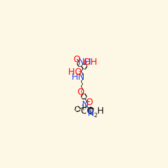 O=C(c1ccc(OCCCCCNCC(O)c2ccc(O)c3[nH]c(=O)ccc23)cc1)N1CC(C(=O)O)(c2ccccc2)C1C1CN2CCC1CC2